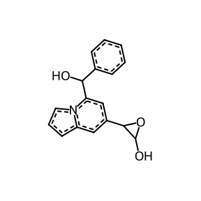 OC(c1ccccc1)c1cc(C2OC2O)cc2cccn12